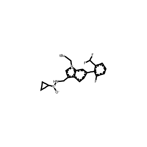 CC(C)(C)Cn1cc(CN[S+]([O-])C2CC2)c2ccc(-c3c(F)cccc3C(F)F)cc21